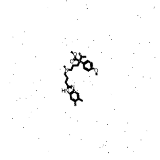 COC(=O)C(CCCN(C)CCCc1nc2cc(C)c(C)cc2[nH]1)(c1ccc(OC)cc1)C(C)C